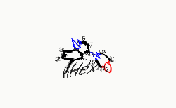 CCCCCCc1ccc2nccc(N3CCOCC3)c2c1